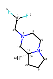 FB(F)CN1CCN2CCC[C@H]2C1